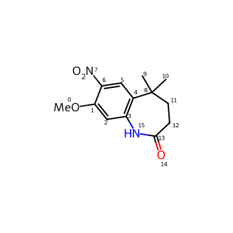 COc1cc2c(cc1[N+](=O)[O-])C(C)(C)CCC(=O)N2